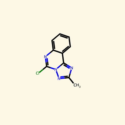 Cc1nc2c3ccccc3nc(Cl)n2n1